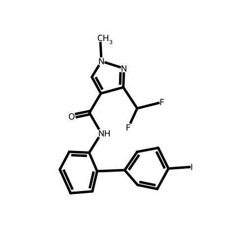 Cn1cc(C(=O)Nc2ccccc2-c2ccc(I)cc2)c(C(F)F)n1